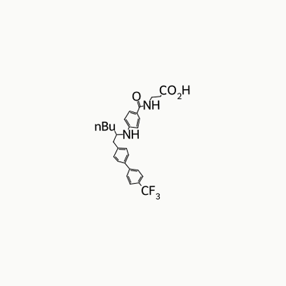 CCCCC(Cc1ccc(-c2ccc(C(F)(F)F)cc2)cc1)Nc1ccc(C(=O)NCCC(=O)O)cc1